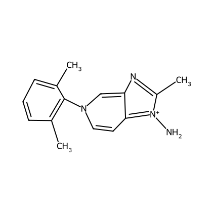 Cc1cccc(C)c1-n1ccc2[n+](N)c(C)nc-2c1